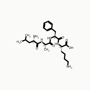 CC(C)C[C@H](N)C(=O)N[C@@H](C)C(=O)N[C@@H](Cc1ccccc1)C(=O)N[C@@H](CCCCN)C(=O)O